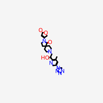 Cc1cc(-n2cnnn2)cnc1[C@@H](O)CN1CCC2(CC1)CCN(C1=CC(=O)OC1)C2=O